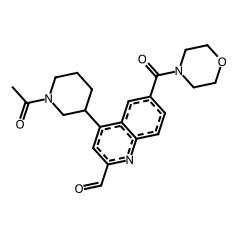 CC(=O)N1CCCC(c2cc(C=O)nc3ccc(C(=O)N4CCOCC4)cc23)C1